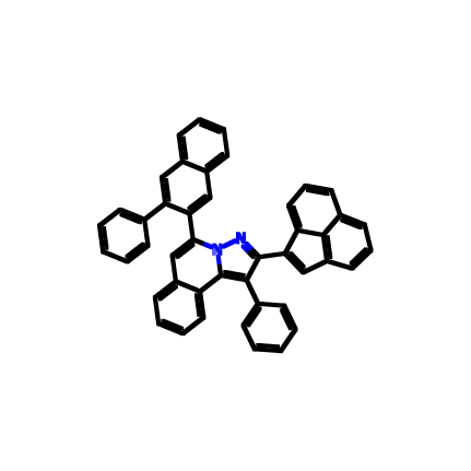 C1=C(c2nn3c(-c4cc5ccccc5cc4-c4ccccc4)cc4ccccc4c3c2-c2ccccc2)c2cccc3cccc1c23